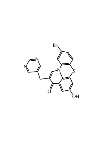 O=c1c(Cc2cncnc2)cn2c3c(cc(O)cc13)Sc1ccc(Br)cc1-2